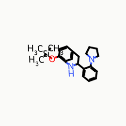 C[Si](C)(C)Oc1ccc2cc1NC(c1ccccc1N1CCCC1)C2